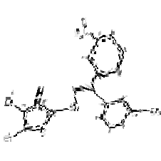 CCc1nc(BCC(c2cccc(C(F)(F)F)c2)c2cccc(C(F)(F)F)c2)[nH]c1CC